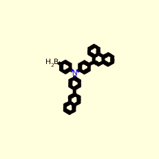 Bc1ccc(N(c2ccc(-c3ccc4ccccc4c3)cc2)c2ccc(-c3cc4ccccc4c4ccccc34)cc2)cc1